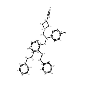 Cc1ccc(C(Cc2ncnc(OCc3ccccc3)c2OCc2ccccc2)CN2CC(C#N)C2)cc1